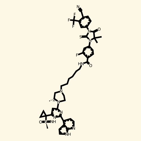 C[C@@H]1CN(CCCCCCNC(=O)c2ccc(N3C(=S)N(c4ccc(C#N)c(C(F)(F)F)c4)C(=O)C3(C)C)cc2F)CCN1c1cc(C2([S@](C)(=N)=O)CC2)nc(-c2ccnc3[nH]ccc23)n1